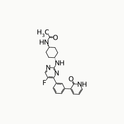 CC(=O)N[C@H]1CC[C@H](Nc2ncc(F)c(-c3cccc(-c4ccc[nH]c4=O)c3)n2)CC1